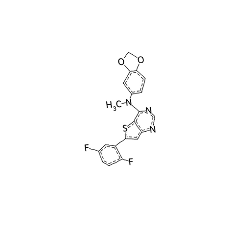 CN(c1ccc2c(c1)OCO2)c1ncnc2cc(-c3cc(F)ccc3F)sc12